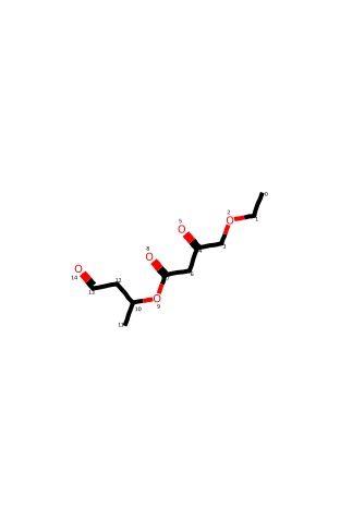 CCOCC(=O)CC(=O)OC(C)CC=O